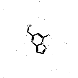 OCc1cc([S])n2nccc2n1